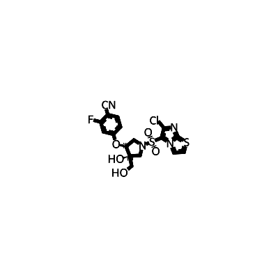 N#Cc1ccc(O[C@H]2CN(S(=O)(=O)c3c(Cl)nc4sccn34)C[C@@]2(O)CO)cc1F